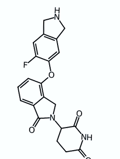 O=C1CCC(N2Cc3c(Oc4cc5c(cc4F)CNC5)cccc3C2=O)C(=O)N1